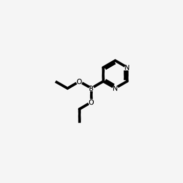 CCOB(OCC)c1ccncn1